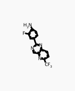 Nc1ccc(-c2ncc3nc(C(F)(F)F)ccc3n2)cc1F